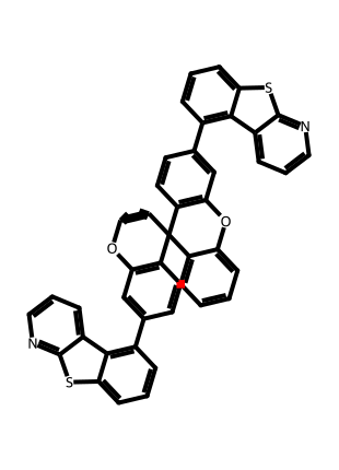 c1ccc2c(c1)Oc1cc(-c3cccc4sc5ncccc5c34)ccc1C21c2ccccc2Oc2cc(-c3cccc4sc5ncccc5c34)ccc21